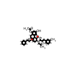 CC(=O)Oc1cc(O)c2c3c1C[C@@H]1[C@H]4CC[C@@H](N(CC(C)C)C(=O)C=Cc5cccc(C)c5)[C@H](O2)[C@]34CCN1CCc1ccccc1